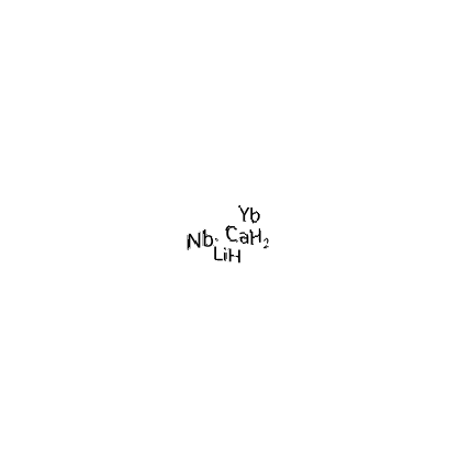 [CaH2].[LiH].[Nb].[Yb]